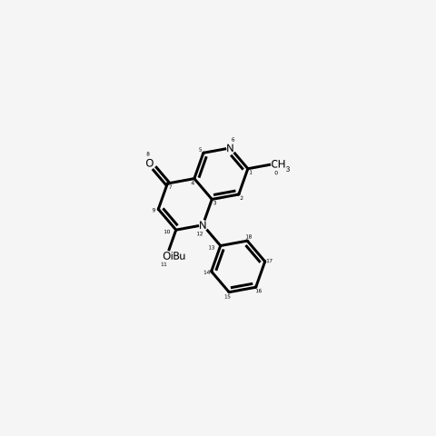 Cc1cc2c(cn1)c(=O)cc(OCC(C)C)n2-c1ccccc1